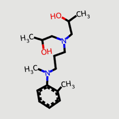 Cc1ccccc1N(C)CCCN(CC(C)O)CC(C)O